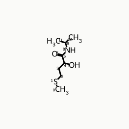 CSCCC(O)C(=O)NC(C)C